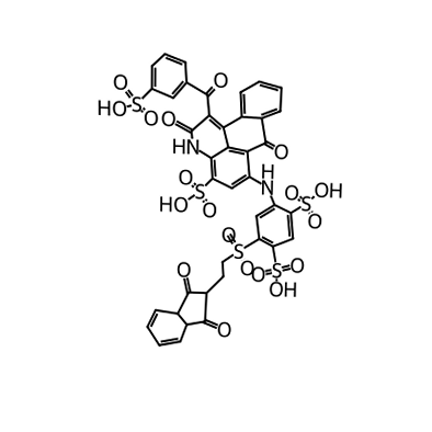 O=C(c1cccc(S(=O)(=O)O)c1)c1c2c3c(c(Nc4cc(S(=O)(=O)CCC5C(=O)C6C=CC=CC6C5=O)c(S(=O)(=O)O)cc4S(=O)(=O)O)cc(S(=O)(=O)O)c3[nH]c1=O)C(=O)c1ccccc1-2